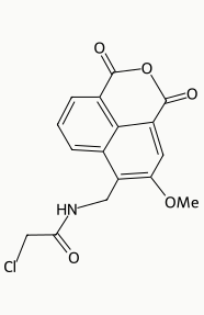 COc1cc2c3c(cccc3c1CNC(=O)CCl)C(=O)OC2=O